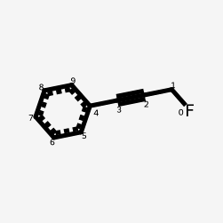 FCC#Cc1ccccc1